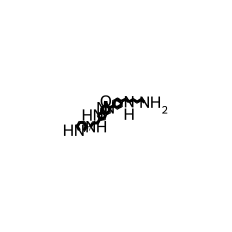 NCCCNCc1ccc(-n2cc3cc(CCN[C@H]4CCCNC4)[nH]c3nc2=O)cc1